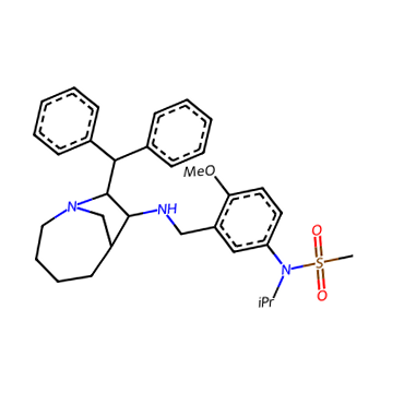 COc1ccc(N(C(C)C)S(C)(=O)=O)cc1CNC1C2CCCCN(C2)C1C(c1ccccc1)c1ccccc1